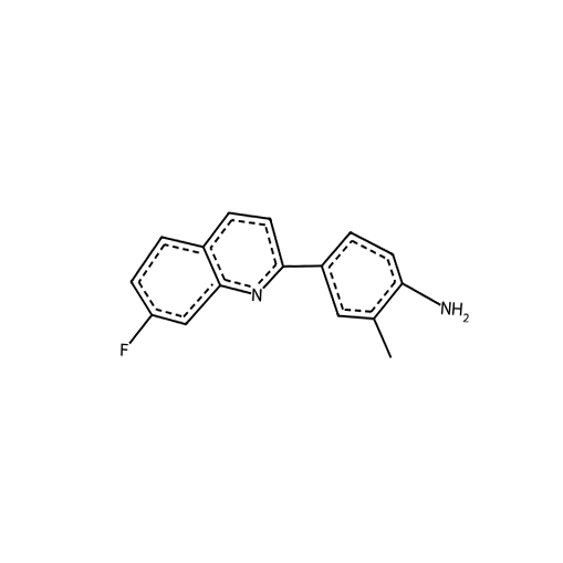 Cc1cc(-c2ccc3ccc(F)cc3n2)ccc1N